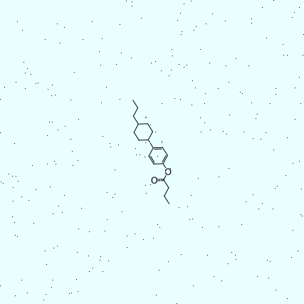 CCCC(=O)Oc1ccc(C2CCC(CCC)CC2)cc1